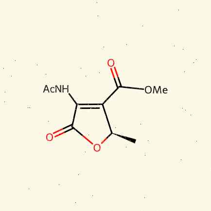 COC(=O)C1=C(NC(C)=O)C(=O)O[C@@H]1C